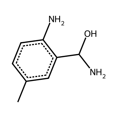 Cc1ccc(N)c(C(N)O)c1